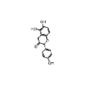 O=C1Cc2c(ccc(O)c2O)OC1c1ccc(O)cc1